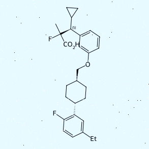 CCc1ccc(F)c([C@H]2CC[C@H](COc3cccc([C@H](C4CC4)C(C)(F)C(=O)O)c3)CC2)c1